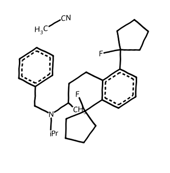 CC#N.CC(C)N(Cc1ccccc1)C(C)CCc1c(C2(F)CCCC2)cccc1C1(F)CCCC1